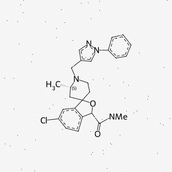 CNC(=O)C1OC2(CCN(Cc3cnn(-c4ccccc4)c3)[C@@H](C)C2)c2cc(Cl)ccc21